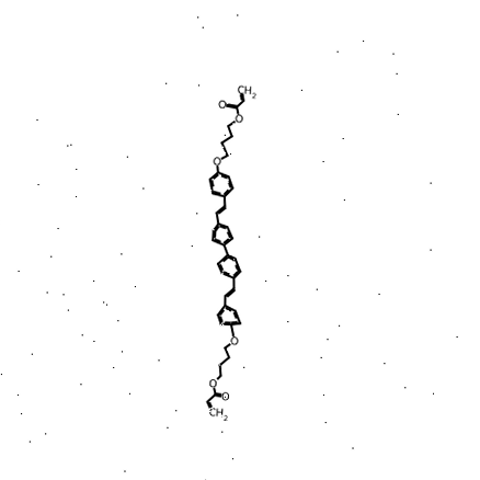 C=CC(=O)OCCCCOc1ccc(C=Cc2ccc(-c3ccc(C=Cc4ccc(OCCCCOC(=O)C=C)cc4)cc3)cc2)cc1